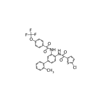 Cc1ccccc1-c1ccc(NS(=O)(=O)c2ccc(Cl)s2)c(NS(=O)(=O)c2ccc(OC(F)(F)F)cc2)c1